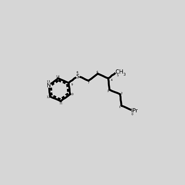 CC(C)CCCC(C)CCSc1cccnc1